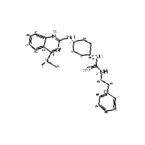 CN(C)c1nc(N[C@H]2CC[C@@H](NC(=O)NCCc3ccccc3)CC2)nc2ccccc12